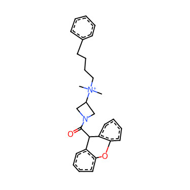 C[N+](C)(CCCCc1ccccc1)C1CN(C(=O)C2c3ccccc3Oc3ccccc32)C1